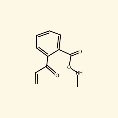 C=CC(=O)c1ccccc1C(=O)ONC